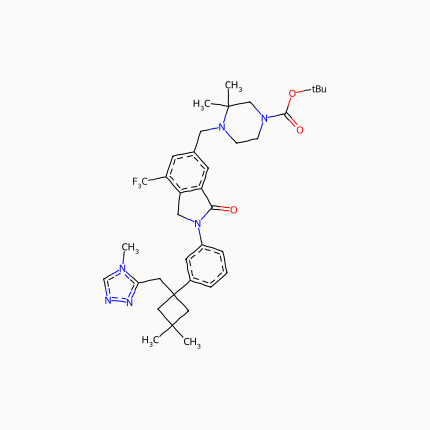 Cn1cnnc1CC1(c2cccc(N3Cc4c(cc(CN5CCN(C(=O)OC(C)(C)C)CC5(C)C)cc4C(F)(F)F)C3=O)c2)CC(C)(C)C1